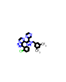 FC(F)(F)c1cc(Cn2nnc(-c3nccn4nnc(-c5ccccc5Cl)c34)c2-c2cnccn2)cc(C(F)(F)F)c1